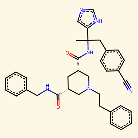 CC(Cc1ccc(C#N)cc1)(NC(=O)[C@H]1C[C@@H](C(=O)NCc2ccccc2)CN(CCc2ccccc2)C1)c1cnc[nH]1